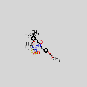 CNC(=S)N=S(=O)=O.COCCOc1ccc(CCNC(=O)C=Cc2cc(C(C)(C)C)ccc2OC)cc1